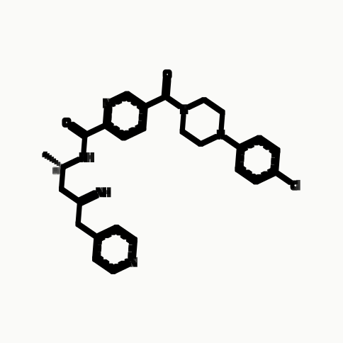 C[C@@H](CC(=N)Cc1ccncc1)NC(=O)c1ccc(C(=O)N2CCN(c3ccc(Cl)cc3)CC2)cn1